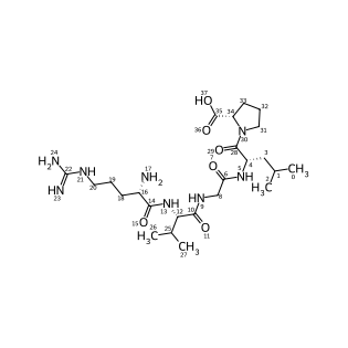 CC(C)C[C@H](NC(=O)CNC(=O)[C@@H](NC(=O)[C@@H](N)CCCNC(=N)N)C(C)C)C(=O)N1CCC[C@H]1C(=O)O